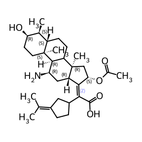 CC(=O)O[C@H]1C[C@]2(C)C3CC[C@H]4[C@H](C)[C@H](O)CC[C@]4(C)[C@@H]3[C@H](N)C[C@H]2/C1=C(/C(=O)O)C1CCC(=C(C)C)C1